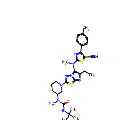 CCc1nc2sc(N3CCCC(N(C)C(=O)NC(C)(C)C)C3)nn2c1N(C)c1nc(-c2ccc(C)cc2)c(C#N)s1